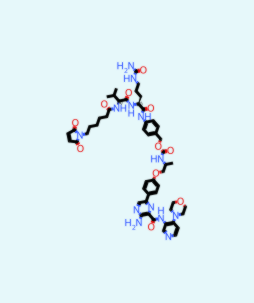 CC(COc1ccc(-c2cnc(N)c(C(=O)Nc3cnccc3N3CCOCC3)n2)cc1)NC(=O)OCc1ccc(NC(=O)[C@H](CCCNC(N)=O)NC(=O)[C@@H](NC(=O)CCCCCN2C(=O)C=CC2=O)C(C)C)cc1